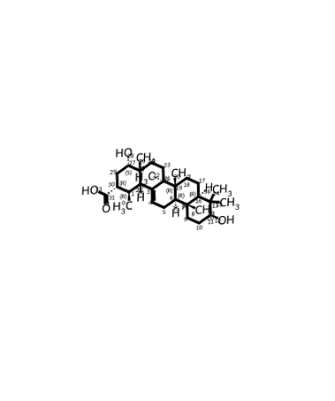 C[C@@H]1[C@H]2C3=CC[C@@H]4[C@@]5(C)CC[C@H](O)C(C)(C)[C@@H]5CC[C@@]4(C)[C@]3(C)CC[C@@]2(C)[C@@H](O)C[C@H]1C(=O)O